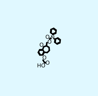 O=C(O)COc1cccc2c1CCCC(COC(=O)N(c1ccccc1)c1ccccc1)C2=O